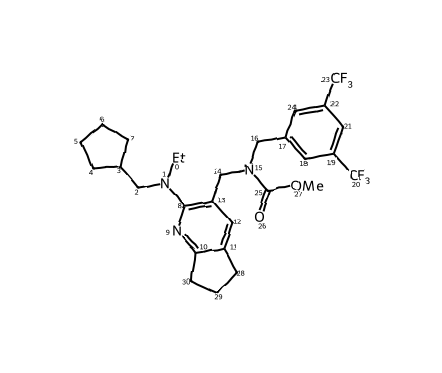 CCN(CC1CCCC1)c1nc2c(cc1CN(Cc1cc(C(F)(F)F)cc(C(F)(F)F)c1)C(=O)OC)CCC2